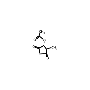 CC(=O)O[C@H]1C(=O)OC(=O)[C@@H]1C